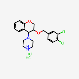 Cl.Cl.Clc1ccc(COC2COc3ccccc3C2N2CCNCC2)cc1Cl